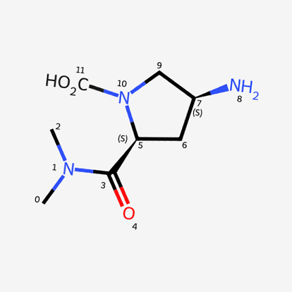 CN(C)C(=O)[C@@H]1C[C@H](N)CN1C(=O)O